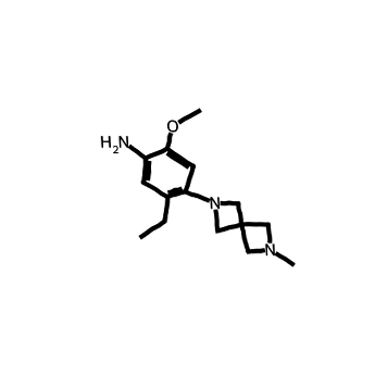 CCc1cc(N)c(OC)cc1N1CC2(CN(C)C2)C1